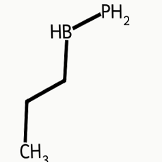 CCCBP